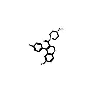 CN1CCN(C(=O)C2=C(c3ccc(F)cc3)c3cc(Cl)ccc3OC2)CC1